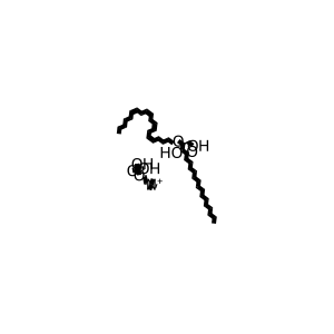 CCCCC/C=C\C/C=C\C/C=C\C/C=C\CCCCO[C@@H](CO)C(O)C(=O)CCCCCCCCCCCCCCC.C[N+](C)(C)CCOP(=O)(O)O